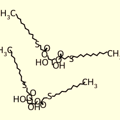 CCCCCCCCCCCCSCCC(=O)OCC(O)(CCO)COC(=O)CCSCCCCCCCCCCCC.CCCCCCCCCCCCSCCC(=O)OCC(O)C(CO)COC(=O)CCSCCCCCCCCCCCC